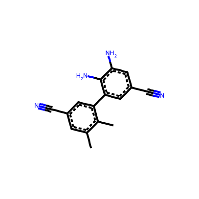 Cc1cc(C#N)cc(-c2cc(C#N)cc(N)c2N)c1C